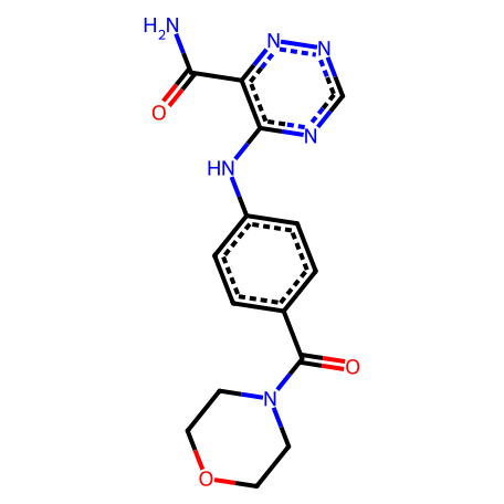 NC(=O)c1nncnc1Nc1ccc(C(=O)N2CCOCC2)cc1